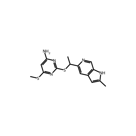 CSc1cc(N)nc(SC(C)c2cc3cc(C)[nH]c3cn2)n1